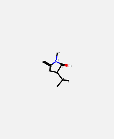 C=C1CC(C(C)C)C(=O)N1C